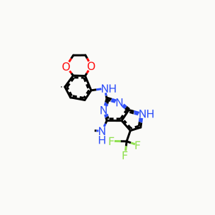 CNc1nc(Nc2cc[c]c3c2OCCO3)nc2[nH]cc(C(F)(F)F)c12